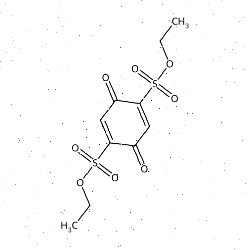 CCOS(=O)(=O)C1=CC(=O)C(S(=O)(=O)OCC)=CC1=O